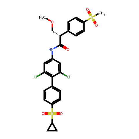 COC[C@@H](C(=O)Nc1cc(Cl)c(-c2ccc(S(=O)(=O)C3CC3)cc2)c(Cl)c1)c1ccc(S(C)(=O)=O)cc1